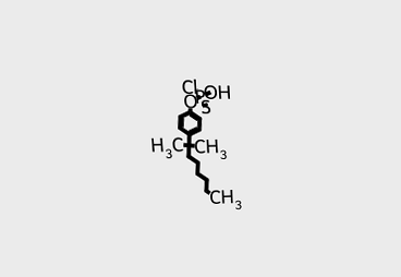 CCCCCCC(C)(C)c1ccc(OP(O)(=S)Cl)cc1